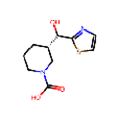 O=C(O)N1CCC[C@H](C(O)c2nccs2)C1